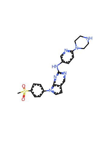 CS(=O)(=O)c1ccc(-n2ccc3cnc(Nc4ccc(N5CCNCC5)nc4)nc32)cc1